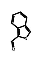 O=[C]c1scc2ccccc12